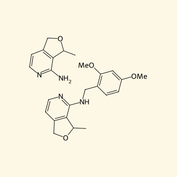 CC1OCc2ccnc(N)c21.COc1ccc(CNc2nccc3c2C(C)OC3)c(OC)c1